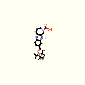 CC(C)[Si](OCc1ccc(N)c(N[C@@H]2CCCCN(C(=O)O)C2)c1)(C(C)C)C(C)C